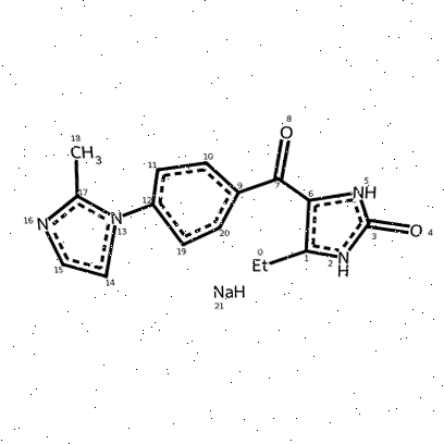 CCc1[nH]c(=O)[nH]c1C(=O)c1ccc(-n2ccnc2C)cc1.[NaH]